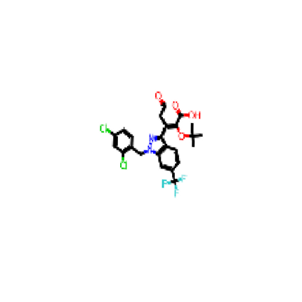 CC(C)(C)OC(C(=O)O)=C(CC=O)c1nn(Cc2ccc(Cl)cc2Cl)c2cc(C(F)(F)F)ccc12